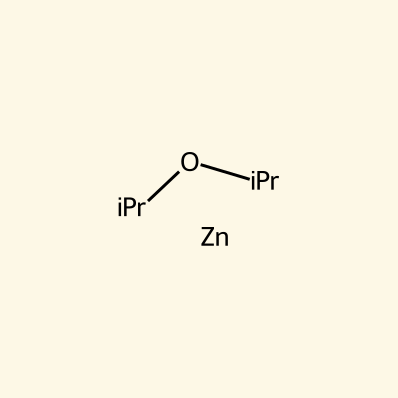 CC(C)OC(C)C.[Zn]